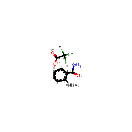 CC(=O)Nc1ccccc1C(N)=O.O=C(O)C(F)(F)F